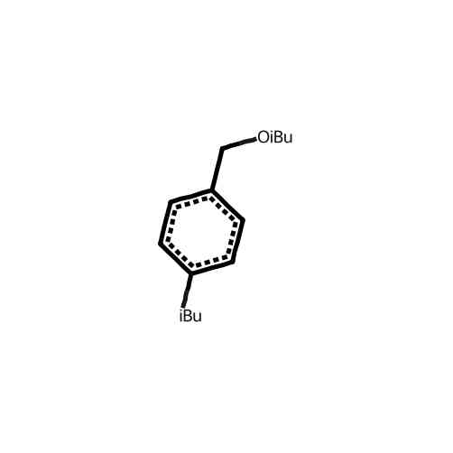 CCC(C)c1ccc(COCC(C)C)cc1